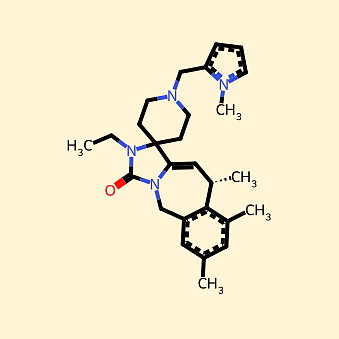 CCN1C(=O)N2Cc3cc(C)cc(C)c3[C@@H](C)C=C2C12CCN(Cc1cccn1C)CC2